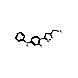 NCC1CC(c2ccc(Nc3ccncc3)cc2F)=NO1